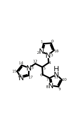 c1cnn(CC(Cc2ncc[nH]2)Cn2ccnc2)c1